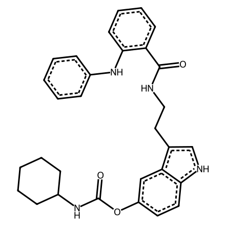 O=C(NC1CCCCC1)Oc1ccc2[nH]cc(CCNC(=O)c3ccccc3Nc3ccccc3)c2c1